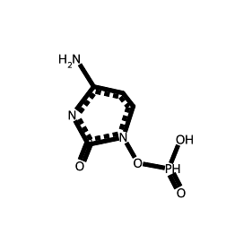 Nc1ccn(O[PH](=O)O)c(=O)n1